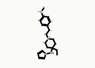 CCC1(Nn2cccc2)CCN(CCc2ccc(OC)cc2)CC1